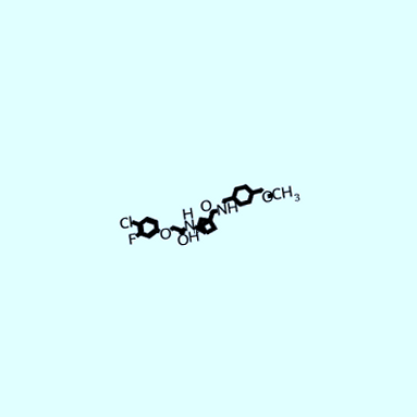 COCC1CCC(CNC(=O)C23CC(C2)[C@@H](NC(=O)COc2ccc(Cl)c(F)c2)C3)CC1